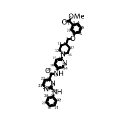 COC(=O)c1cccc(OCC2CCN(c3ccc(NC(=O)c4ccnc(Nc5ccccc5)n4)cn3)CC2)c1